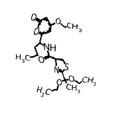 CCCC(NC(=O)C1CSC(C(C)(OCC)OCC)=N1)c1cc(OCC)cc(=O)o1